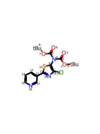 CC(C)(C)OC(=O)N(C(=O)OC(C)(C)C)c1sc(-c2cccnc2)nc1Cl